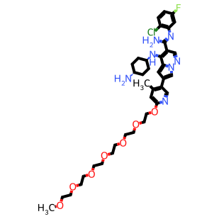 COCCOCCOCCOCCOCCOCCOc1cc(C)c(-c2cc3c(N[C@H]4CC[C@H](N)CC4)c(/C(N)=N/c4cc(F)ccc4Cl)cnn3c2)cn1